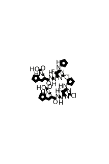 O=C(O)NC[C@@H](CC1CCCC1)C(=O)NNc1nc(Cl)nc(NC2CCCC2)c1F.O=C(O)NC[C@@H](CC1CCCC1)C(=O)NNc1nc(Cl)nc(NC2CCCC2)c1F